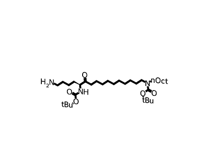 CCCCCCCCN(CCCCCCCCCCC(=O)[C@H](CCCCN)NC(=O)OC(C)(C)C)C(=O)OC(C)(C)C